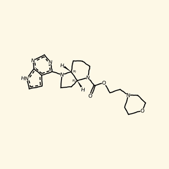 O=C(OCCN1CCOCC1)N1CCC[C@@H]2[C@H]1CCN2c1ncnc2[nH]ccc12